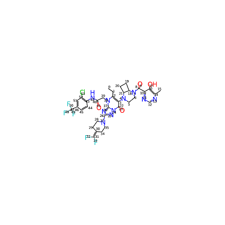 CCc1c(N2CCN(C(=O)c3ncnc(C)c3O)C3CCC32)c(=O)n2nc(N3CCC(=C(F)F)CC3)nc2n1CC(=O)Nc1ccc(C(F)(F)F)cc1Cl